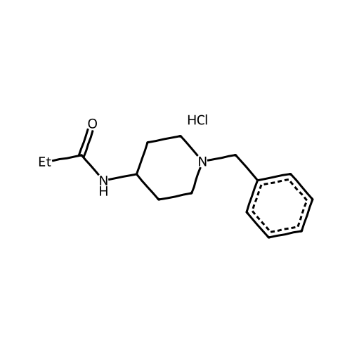 CCC(=O)NC1CCN(Cc2ccccc2)CC1.Cl